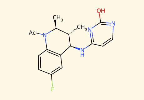 CC(=O)N1c2ccc(F)cc2[C@H](Nc2ccnc(O)n2)[C@@H](C)[C@@H]1C